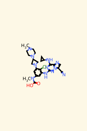 CN1CCN(C2CN(c3cc(N(C)C(=O)O)cc(Nc4nc(NC5CC5)c5ncc(C#N)n5n4)c3Cl)C2)CC1